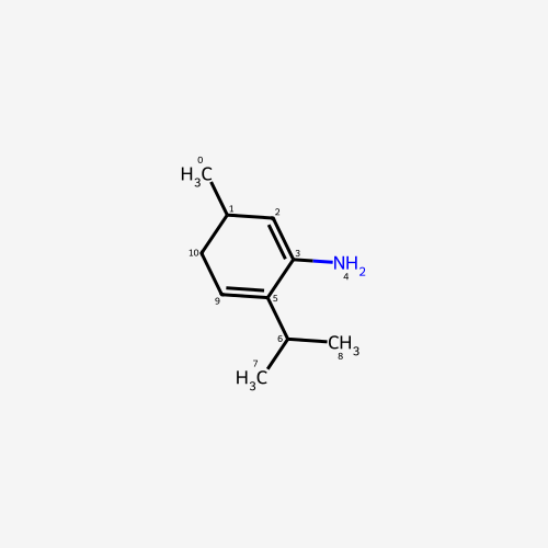 CC1C=C(N)C(C(C)C)=CC1